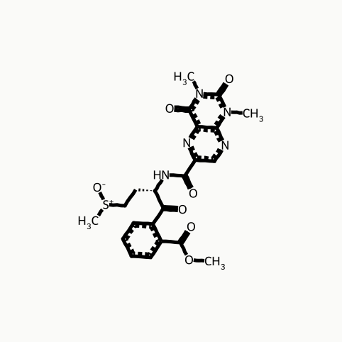 COC(=O)c1ccccc1C(=O)[C@H](CC[S+](C)[O-])NC(=O)c1cnc2c(n1)c(=O)n(C)c(=O)n2C